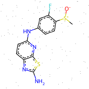 C[S+]([O-])c1ccc(Nc2ccc3nc(N)sc3n2)cc1F